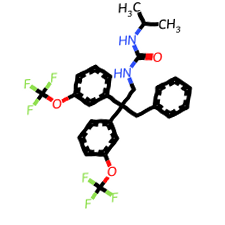 CC(C)NC(=O)NCC(Cc1ccccc1)(c1cccc(OC(F)(F)F)c1)c1cccc(OC(F)(F)F)c1